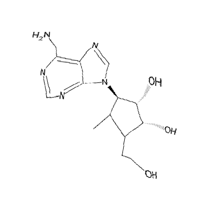 CC1C(CO)[C@@H](O)[C@@H](O)[C@@H]1n1cnc2c(N)ncnc21